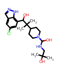 CC(C)(O)CNC(O)N1CCC(C(C)(C)C(O)c2cc(Cl)cc3cn[nH]c23)CC1